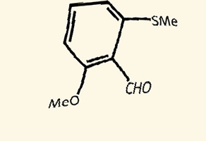 COc1cccc(SC)c1C=O